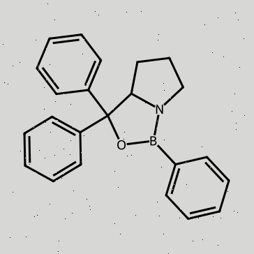 c1ccc(B2OC(c3ccccc3)(c3ccccc3)C3CCCN23)cc1